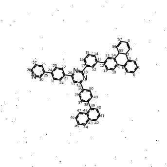 C1=CC2c3ccccc3-c3ccc(-c4cccc(-c5nc(-c6ccc(-c7cccnc7)cc6)cc(-c6ccc(-c7cccc8ccccc78)cc6)n5)c4)cc3C2C=C1